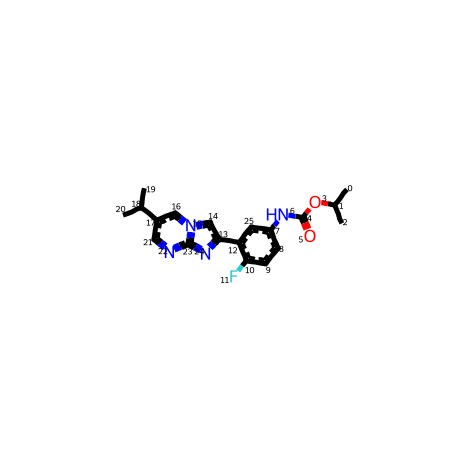 CC(C)OC(=O)Nc1ccc(F)c(-c2cn3cc(C(C)C)cnc3n2)c1